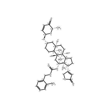 C[C@@H]1O[C@@H](O[C@H]2CC[C@@]3(C)[C@H](CC[C@@H]4[C@@H]3C[C@@H](OC(=O)OCc3ccccc3[N+](=O)[O-])[C@]3(C)[C@@H](C5=CC(=O)OC5)CC[C@]43O)C2)C=CC1=O